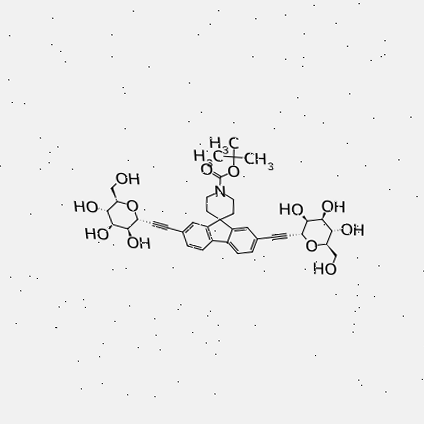 CC(C)(C)OC(=O)N1CCC2(CC1)c1cc(C#C[C@H]3O[C@H](CO)[C@@H](O)[C@H](O)[C@@H]3O)ccc1-c1ccc(C#C[C@H]3O[C@H](CO)[C@@H](O)[C@H](O)[C@@H]3O)cc12